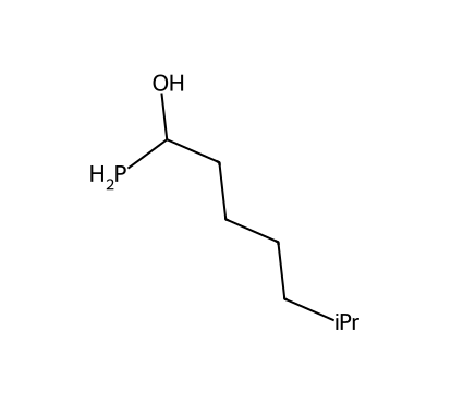 CC(C)CCCCC(O)P